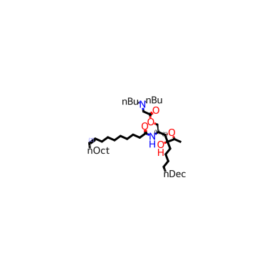 CCCCCCCC/C=C\CCCCCCCC(=O)N[C@@H](COC(=O)CN(CCCC)CCCC)[C@@H]1OC(C)C1(O)CCCCCCCCCCCCCC